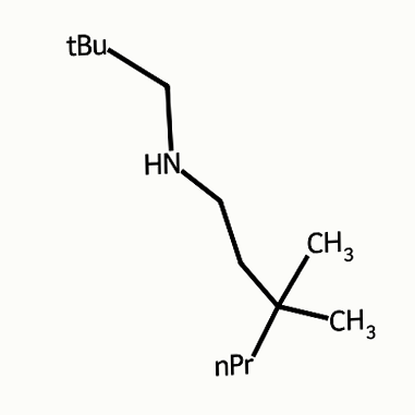 CCCC(C)(C)CCNCC(C)(C)C